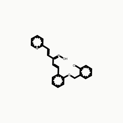 ON=C(C=Cc1ccccn1)C=Cc1ccccc1OCc1ccccc1Cl